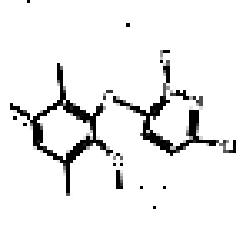 COc1c(C)cc(C)c(C)c1Oc1ccc(Cl)n[n+]1[O-]